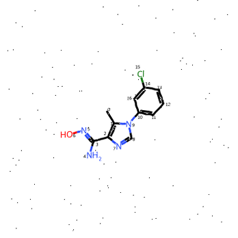 Cc1c(C(N)=NO)ncn1-c1cccc(Cl)c1